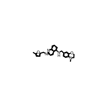 Cc1ccc(CNc2ccc3c(NCc4ccc5c(c4)OCCN5C)cccc3n2)o1